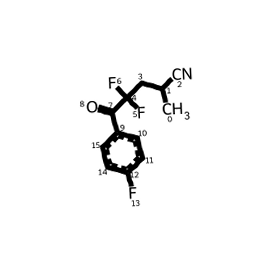 CC(C#N)CC(F)(F)C(=O)c1ccc(F)cc1